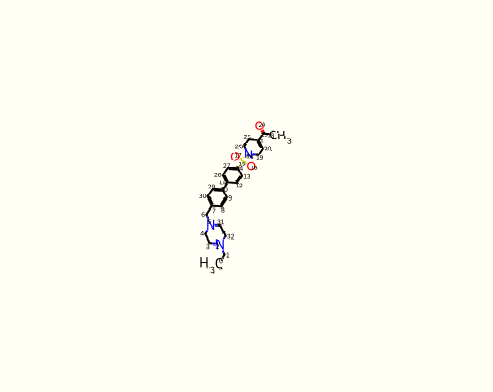 CCN1CCN(Cc2ccc(-c3ccc(S(=O)(=O)N4CC=C(C(C)=O)CC4)cc3)cc2)CC1